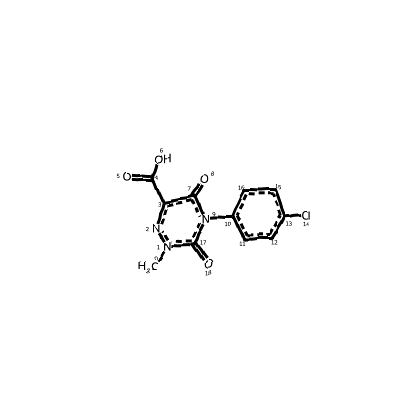 Cn1nc(C(=O)O)c(=O)n(-c2ccc(Cl)cc2)c1=O